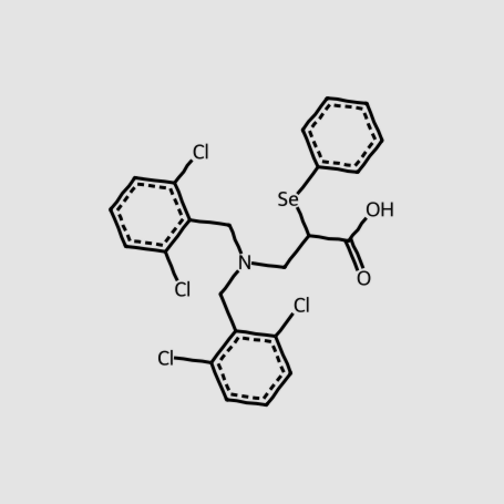 O=C(O)C(CN(Cc1c(Cl)cccc1Cl)Cc1c(Cl)cccc1Cl)[Se]c1ccccc1